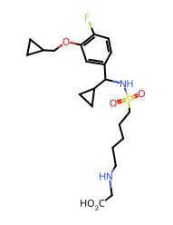 O=C(O)CNCCCCCS(=O)(=O)NC(c1ccc(F)c(OCC2CC2)c1)C1CC1